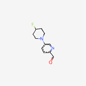 O=Cc1ccc(N2CCC(F)CC2)cn1